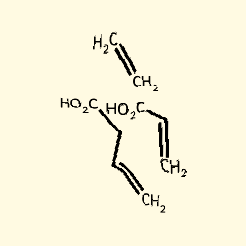 C=C.C=CC(=O)O.C=CCC(=O)O